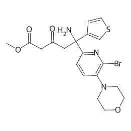 COC(=O)CC(=O)CC(N)(c1ccsc1)c1ccc(N2CCOCC2)c(Br)n1